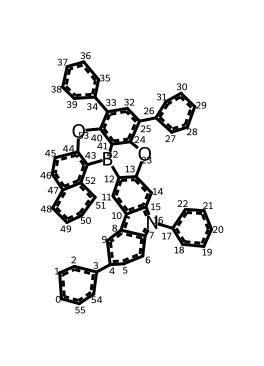 c1ccc(-c2ccc3c(c2)c2cc4c(cc2n3-c2ccccc2)Oc2c(-c3ccccc3)cc(-c3ccccc3)c3c2B4c2c(ccc4ccccc24)O3)cc1